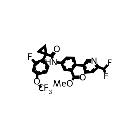 COC(=O)c1cc(NC(=O)C2(c3ccc(OC(F)(F)F)cc3F)CC2)ccc1-c1ccc(C(F)F)nc1